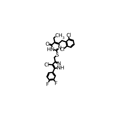 CCc1c(Cc2c(Cl)cccc2Cl)nc(SCc2n[nH]c(-c3ccc(F)c(F)c3)c2Cl)[nH]c1=O